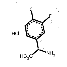 Cl.NC(C(=O)O)c1ccc(Cl)c(F)c1